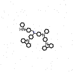 C(=C(\c1ccc(N(c2ccccc2)c2ccc(-n3c4ccccc4c4ccccc43)cc2)cc1)c1ccc(-n2c3ccccc3c3ccccc32)cc1)/c1ccc(Nc2ccccc2)cc1